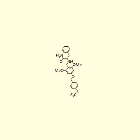 COc1cc(OCc2ccc(SC(F)(F)F)cc2)cc(OC)c1CNC(Cc1ccccc1)C(N)=O